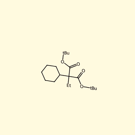 CCC(C(=O)OC(C)(C)C)(C(=O)OC(C)(C)C)C1CCCCC1